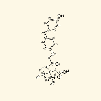 O=C(O)CC(OC(=O)COc1ccc(Sc2ccc(O)cc2)cc1)(C(F)(F)F)C(F)(F)F